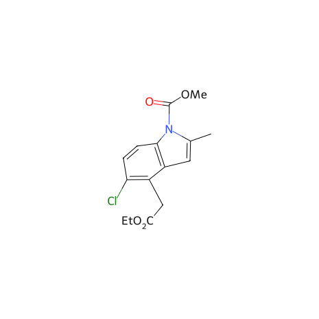 CCOC(=O)Cc1c(Cl)ccc2c1cc(C)n2C(=O)OC